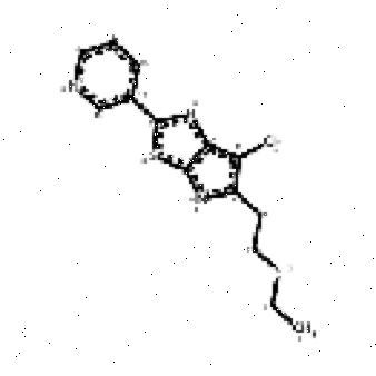 CCSCCc1[nH]c2sc(-c3cccnc3)nc2c1O